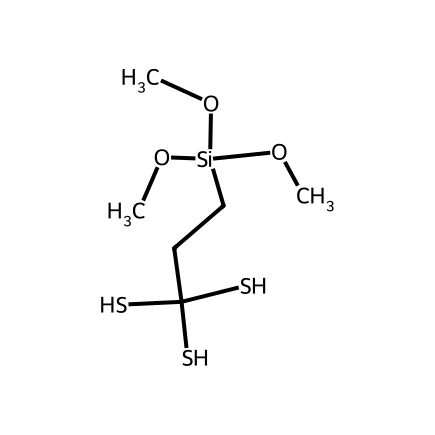 CO[Si](CCC(S)(S)S)(OC)OC